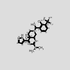 CN(C)C1=NC2CN(C(O)c3cccc(C(F)(F)F)c3Cl)CCC2(C)C(c2ccn[nH]2)=N1